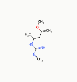 C=NC(=N)NC(C)CC(=C)OC